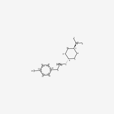 CN(C)[C@H]1CC[C@H](CNCc2ccc(I)cc2)CC1